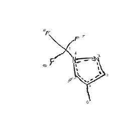 Cc1[c]nn(C(F)(F)F)[c]1